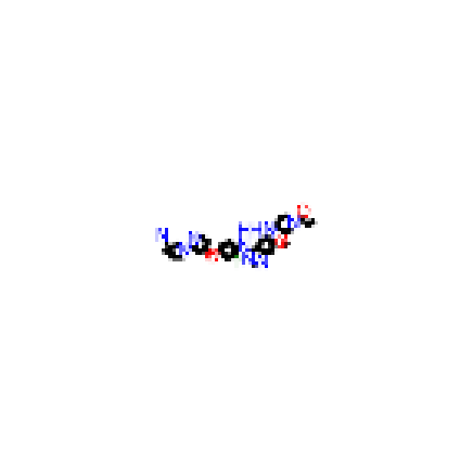 C=CC(=O)N1CCC(Nc2cc3c(Nc4ccc(Oc5ccnc(N6CCC(C)(C#N)C6)c5)cc4F)ncnc3cc2OC)CC1